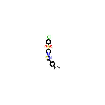 CCCc1ccc(-c2csc(N3CCC(S(=O)(=O)c4ccc(Cl)cc4)CC3)n2)cc1